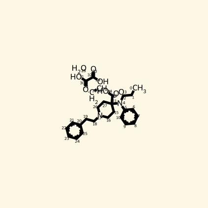 CCC(=O)N(c1ccccc1)C1(C(=O)O)CCN(CCc2ccccc2)CC1.O.O=C(O)C(=O)O.[CH2]C